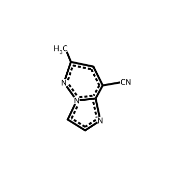 Cc1cc(C#N)c2nccn2n1